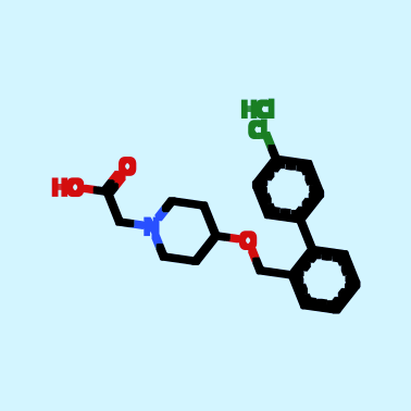 Cl.O=C(O)CN1CCC(OCc2ccccc2-c2ccc(Cl)cc2)CC1